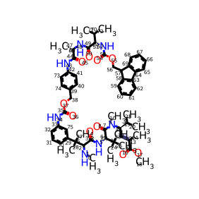 CNC(C(=O)N[C@H](C(=O)N(C)[C@H](/C=C(\C)C(=O)OC)C(C)C)C(C)(C)C)C(C)(C)c1cccc(NC(=O)OCc2ccc(NC(=O)[C@H](C)NC(=O)[C@@H](NC(=O)OCC3c4ccccc4-c4ccccc43)C(C)C)cc2)c1